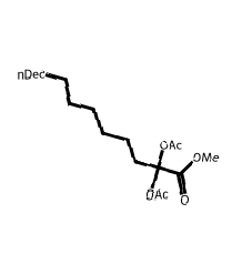 CCCCCCCCCCCCCCCCC(OC(C)=O)(OC(C)=O)C(=O)OC